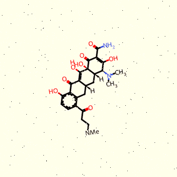 CNCCC(=O)c1ccc(O)c2c1C[C@H]1C[C@H]3[C@H](N(C)C)C(O)=C(C(N)=O)C(=O)[C@@]3(O)C(O)=C1C2=O